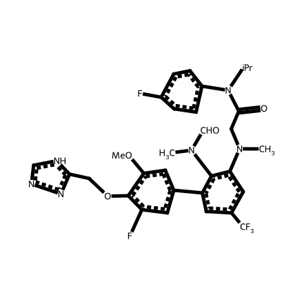 COc1cc(-c2cc(C(F)(F)F)cc(N(C)CC(=O)N(c3ccc(F)cc3)C(C)C)c2N(C)C=O)cc(F)c1OCc1nnc[nH]1